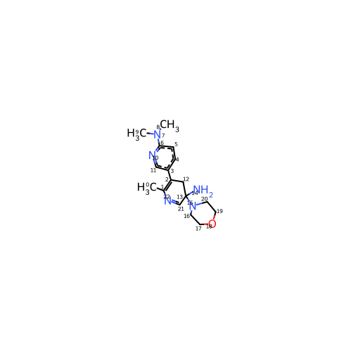 CC1=C(c2ccc(N(C)C)nc2)CC(N)(N2CCOCC2)C=N1